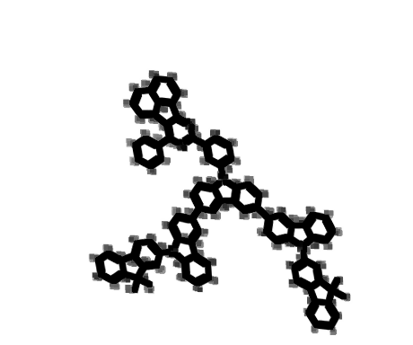 CC1(C)c2ccccc2-c2ccc(-n3c4ccccc4c4cc(-c5ccc6c(c5)c5cc(-c7ccc8c(c7)c7ccccc7n8-c7ccc8c(c7)C(C)(C)c7ccccc7-8)ccc5n6-c5cccc(-c6nc(-c7ccccc7)c7c(n6)-c6cccc8cccc-7c68)c5)ccc43)cc21